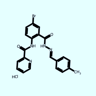 Cc1ccc(C=NNC(=O)c2cc(Br)ccc2NC(=O)c2ccccn2)cc1.Cl